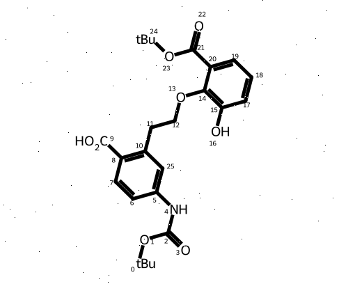 CC(C)(C)OC(=O)Nc1ccc(C(=O)O)c(CCOc2c(O)cccc2C(=O)OC(C)(C)C)c1